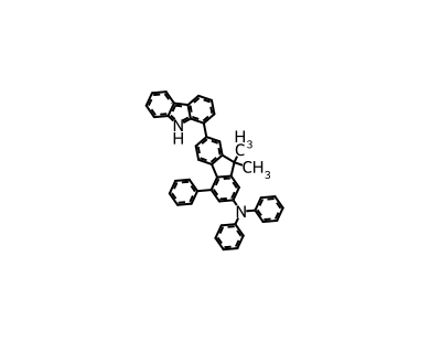 CC1(C)c2cc(-c3cccc4c3[nH]c3ccccc34)ccc2-c2c(-c3ccccc3)cc(N(c3ccccc3)c3ccccc3)cc21